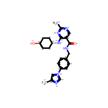 Cc1ncc(C(=O)NCc2ccc(-n3cnc(C(F)(F)F)c3)cc2)c(N[C@H]2CC[C@H](O)CC2)n1